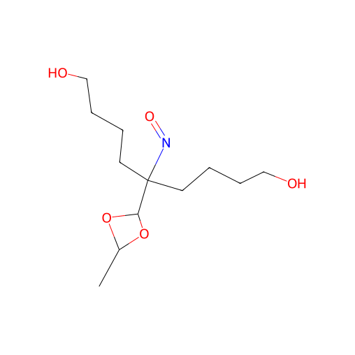 CC1OC(C(CCCCO)(CCCCO)N=O)O1